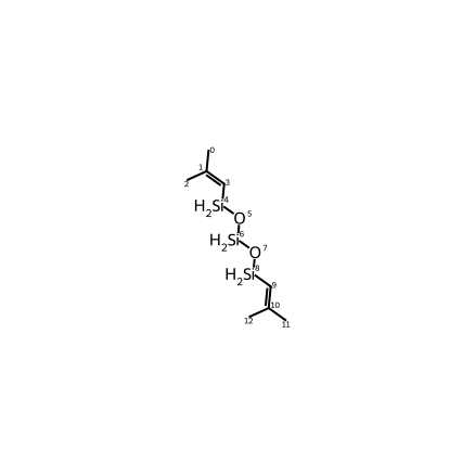 CC(C)=C[SiH2]O[SiH2]O[SiH2]C=C(C)C